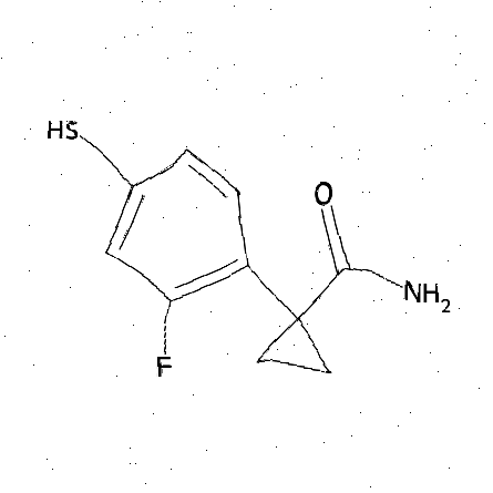 NC(=O)C1(c2ccc(S)cc2F)CC1